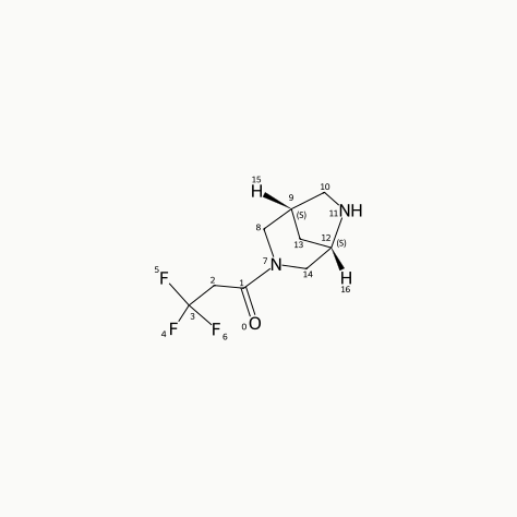 O=C(CC(F)(F)F)N1C[C@@H]2CN[C@@H](C2)C1